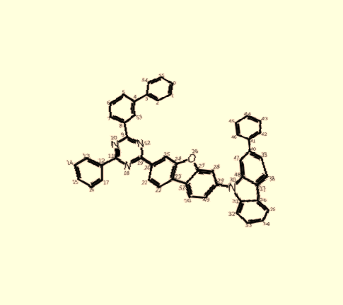 c1ccc(-c2cccc(-c3nc(-c4ccccc4)nc(-c4ccc5c(c4)oc4cc(-n6c7ccccc7c7ccc(-c8ccccc8)cc76)ccc45)n3)c2)cc1